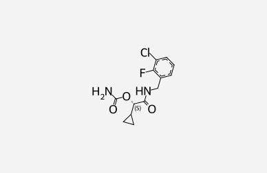 NC(=O)O[C@H](C(=O)NCc1cccc(Cl)c1F)C1CC1